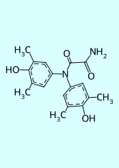 Cc1cc(N(C(=O)C(N)=O)c2cc(C)c(O)c(C)c2)cc(C)c1O